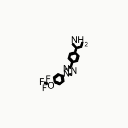 CCC(CN)c1ccc(-c2ncn(-c3ccc(OC(F)(F)F)cc3)n2)cc1